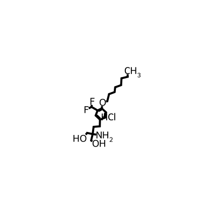 CCCCCCCCOc1ccc(CCC(N)(CO)CO)cc1C(F)F.Cl